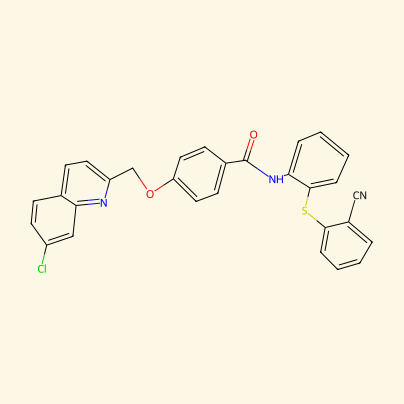 N#Cc1ccccc1Sc1ccccc1NC(=O)c1ccc(OCc2ccc3ccc(Cl)cc3n2)cc1